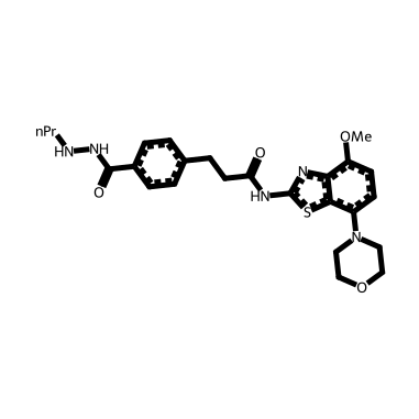 CCCNNC(=O)c1ccc(CCC(=O)Nc2nc3c(OC)ccc(N4CCOCC4)c3s2)cc1